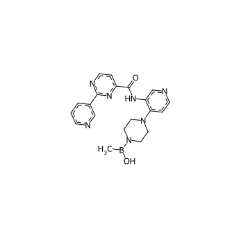 CB(O)N1CCN(c2ccncc2NC(=O)c2ccnc(-c3cccnc3)n2)CC1